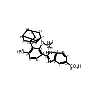 C[SiH](C)Oc1c(-c2nc3cc(C(=O)O)ccc3[nH]2)ccc(C(C)(C)C)c1C12CC3CC(CC(C3)C1)C2